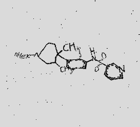 CCCCCCN1CCC(C)(c2cccc(NS(=O)(=O)c3cccnc3)c2)C(C)C1